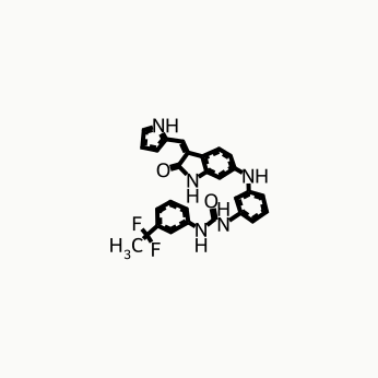 CC(F)(F)c1cccc(NC(=O)Nc2cccc(Nc3ccc4c(c3)NC(=O)C4=Cc3ccc[nH]3)c2)c1